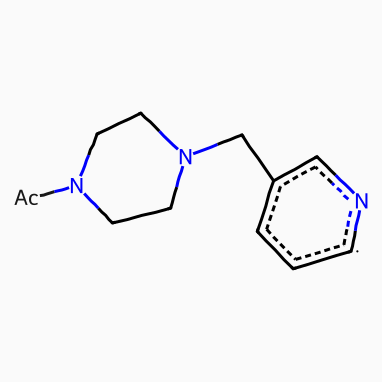 CC(=O)N1CCN(Cc2cc[c]nc2)CC1